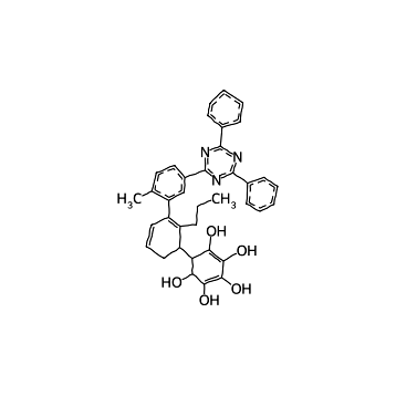 CCCC1=C(c2cc(-c3nc(-c4ccccc4)nc(-c4ccccc4)n3)ccc2C)C=CCC1C1C(O)=C(O)C(O)=C(O)C1O